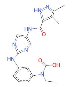 CCN(C(=O)O)c1cccc(Nc2ncc(NC(=O)c3[nH]nc(C)c3C)cn2)c1